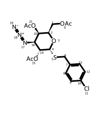 CC(=O)OC[C@H]1O[C@H](SCc2ccc(Cl)cc2)[C@H](OC(C)=O)[C@@H](N=[N+]=[N-])[C@H]1OC(C)=O